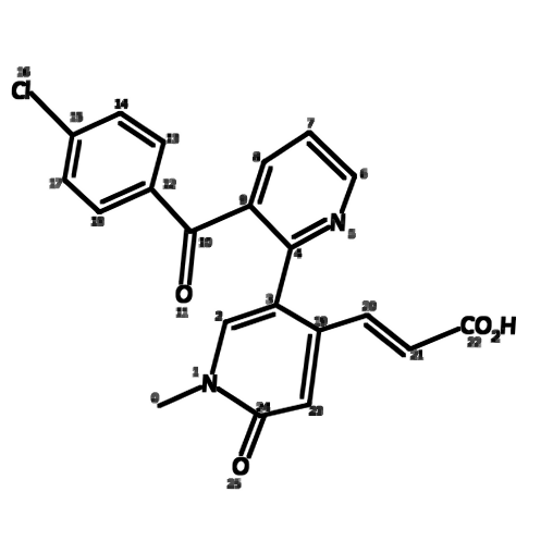 Cn1cc(-c2ncccc2C(=O)c2ccc(Cl)cc2)c(C=CC(=O)O)cc1=O